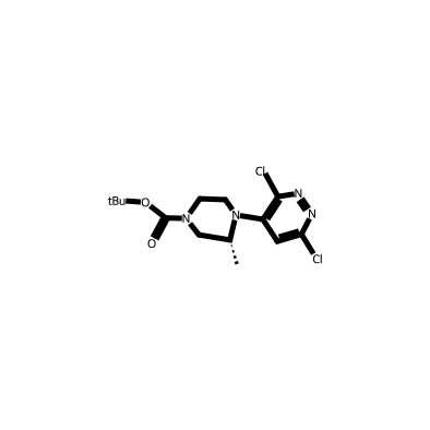 C[C@@H]1CN(C(=O)OC(C)(C)C)CCN1c1cc(Cl)nnc1Cl